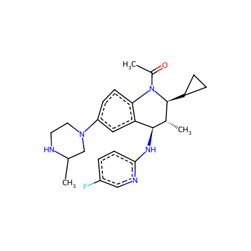 CC(=O)N1c2ccc(N3CCNC(C)C3)cc2[C@H](Nc2ccc(F)cn2)[C@@H](C)[C@@H]1C1CC1